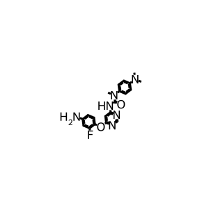 CN(C)c1ccc(N(C)C(=O)Nc2cc(Oc3ccc(N)cc3F)ncn2)cc1